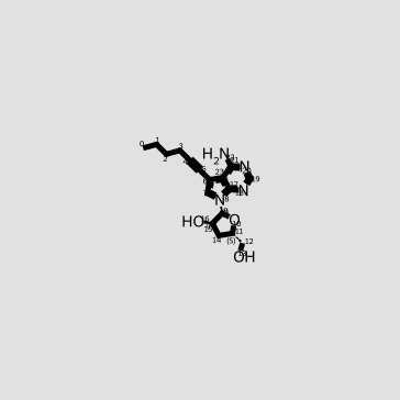 CCCCC#Cc1cn([C@@H]2O[C@H](CO)C[C@H]2O)c2ncnc(N)c12